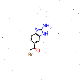 Nc1nc2ccc(C(=O)CBr)cc2[nH]1